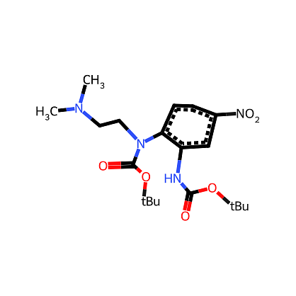 CN(C)CCN(C(=O)OC(C)(C)C)c1ccc([N+](=O)[O-])cc1NC(=O)OC(C)(C)C